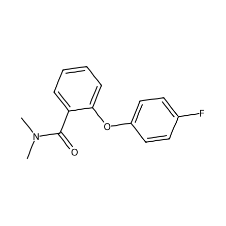 CN(C)C(=O)c1ccccc1Oc1ccc(F)cc1